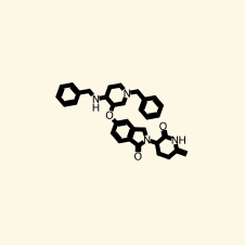 C=C1CCC(N2Cc3cc(OC4CN(Cc5ccccc5)CCC4NCc4ccccc4)ccc3C2=O)C(=O)N1